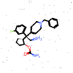 NC[C@@](c1cccc(F)c1)(C1CCN(Cc2ccccc2)CC1)[C@H]1CCC[C@@H]1OC(N)=O